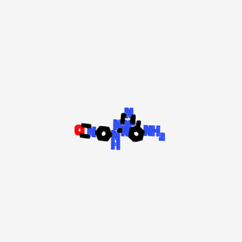 Cc1c(N)cccc1[N+]12C=CN=CC1=NC(Nc1ccc(N3CCOCC3)cc1)=N2